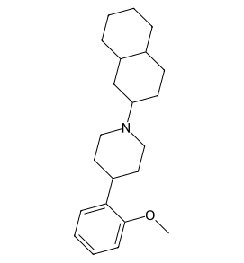 COc1ccccc1C1CCN(C2CCC3CCCCC3C2)CC1